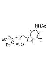 CCOC(CC(COC(C)=O)Cn1cnc2c(=O)[nH]c(NC(C)=O)nc21)OCC